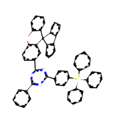 c1ccc(-c2nc(-c3ccc(S(c4ccccc4)(c4ccccc4)c4ccccc4)cc3)nc(-c3ccc4c(c3)C3(c5ccccc5O4)c4ccccc4-c4ccccc43)n2)cc1